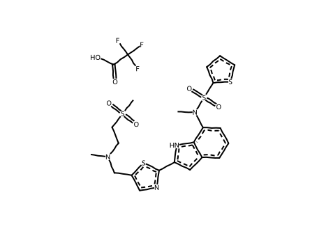 CN(CCS(C)(=O)=O)Cc1cnc(-c2cc3cccc(N(C)S(=O)(=O)c4cccs4)c3[nH]2)s1.O=C(O)C(F)(F)F